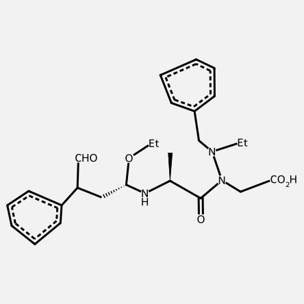 CCO[C@@H](CC(C=O)c1ccccc1)N[C@@H](C)C(=O)N(CC(=O)O)N(CC)Cc1ccccc1